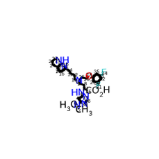 CN(C)c1cc(N[C@@H](CCN(CCCCc2ccc3c(n2)NCCC3)CCOc2cc(F)cc(F)c2)C(=O)O)ncn1